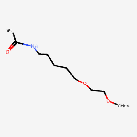 CCCCCCOCCOCCCCCNC(=O)C(C)C